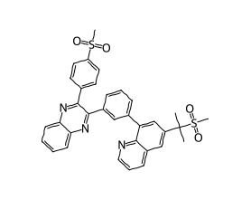 CC(C)(c1cc(-c2cccc(-c3nc4ccccc4nc3-c3ccc(S(C)(=O)=O)cc3)c2)c2ncccc2c1)S(C)(=O)=O